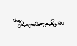 CC(C)(C)OC(=O)CCOCCOCCOCCC(=O)OC(C)(C)C